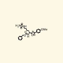 COc1ccc(-c2noc([C@H](CCCCNS(N)(=O)=O)NC(=O)OCc3ccccc3)n2)cc1